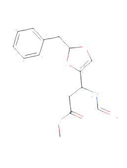 COC(=O)CC(NC=O)C1=COC(Cc2ccccc2)O1